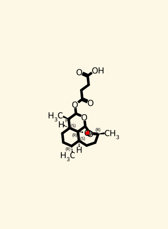 C[C@@H]1CC[C@H]2[C@@H](C)C(OC(=O)CCC(=O)O)OC3O[C@@]4(C)CC[C@@H]1[C@]32OO4